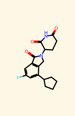 O=C1CCC(N2Cc3c(cc(F)cc3C3CCCC3)C2=O)C(=O)N1